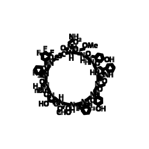 CCCC[C@H]1C(=O)N2C[C@H](O)C[C@@H]2C(=O)N[C@@H](COC=O)C(=O)N[C@@H](C(C)C)C(=O)N(C)[C@@H](Cc2ccccc2)C(=O)N[C@@H](Cc2ccc(O)cc2)C(=O)N2CCOC[C@@H]2C(=O)N[C@@H](Cc2c[nH]c3ccccc23)C(=O)N[C@@H](Cc2ccc(O)cc2)C(=O)N[C@@H](CCOC)C(=O)N[C@H](C(=O)NCC(N)=O)CSCC(=O)N[C@@H](Cc2cc(F)c(F)c(F)c2)C(=O)N(C)[C@@H](Cc2ccccc2)C(=O)N1C